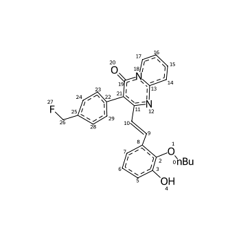 CCCCOc1c(O)cccc1/C=C/c1nc2ccccn2c(=O)c1-c1ccc(CF)cc1